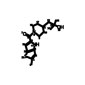 Cc1cc2[nH]c(C(=O)N3CCC(CC(C)(C)O)CC3)cc2s1